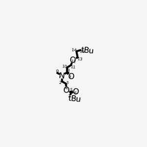 CN(CCOC(=O)C(C)(C)C)C(=O)CCOCCC(C)(C)C